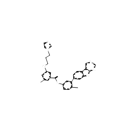 Cc1ccc(NC(=O)c2cc(NCCCn3ccnc3)cc(C(F)(F)F)c2)cc1-c1ccc2c(c1)[nH]c1ncncc12